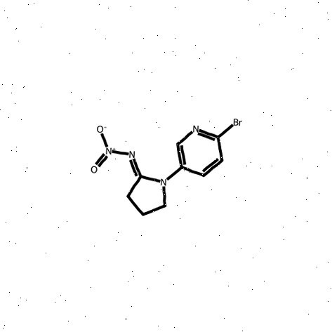 O=[N+]([O-])N=C1CCCN1c1ccc(Br)nc1